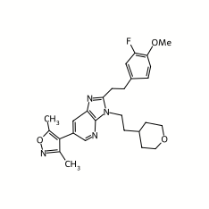 COc1ccc(CCc2nc3cc(-c4c(C)noc4C)cnc3n2CCC2CCOCC2)cc1F